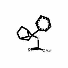 COC(=O)OC1(c2ccccc2)CC2CCC1C2